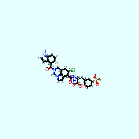 CS(=O)(=O)c1cccc(C[C@H](NC(=O)c2c(Cl)cc3c4c2ccn4CN(C(=O)c2cccc4[nH]ccc24)C3)C(=O)O)c1